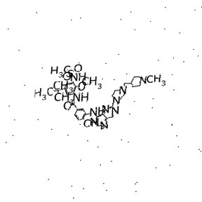 COc1c(NC(=O)c2ccc(C)c(Nc3ncnc4cnc(N5CCN(CC6CCN(C)CC6)CC5)nc34)c2)cc(C(C)(C)C)cc1NS(C)(=O)=O